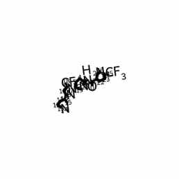 O=C(Nc1ccc(-n2nc(-c3cccnc3)cc2C(F)(F)F)cn1)c1ccc(C(F)(F)F)nc1